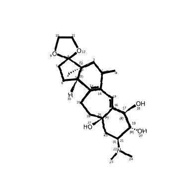 CC1C[C@@]2(C)[C@@H](CCC23OCCO3)C2=C1C=C1[C@@H](O)[C@H](O)[C@@H](N(C)C)C[C@]1(O)CC2